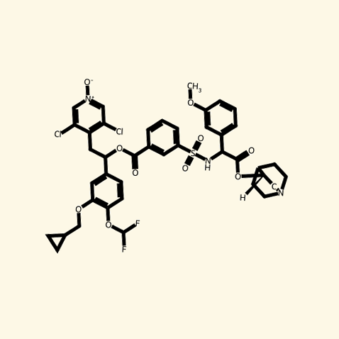 COc1cccc(C(NS(=O)(=O)c2cccc(C(=O)OC(Cc3c(Cl)c[n+]([O-])cc3Cl)c3ccc(OC(F)F)c(OCC4CC4)c3)c2)C(=O)O[C@H]2CN3CCC2CC3)c1